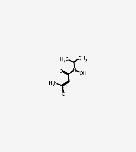 CC(C)N(O)C(=O)/C=C(\N)Cl